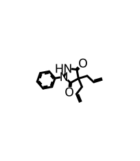 C=CCC1(CC=C)C(=O)NN(c2ccccc2)C1=O